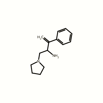 C=C(c1ccccc1)C(N)CN1CCCC1